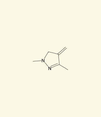 C=C1CN(C)N=C1C